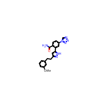 COc1cccc(CCc2cc(-c3cc(-n4cnnn4)ccc3C(N)=O)[nH]n2)c1